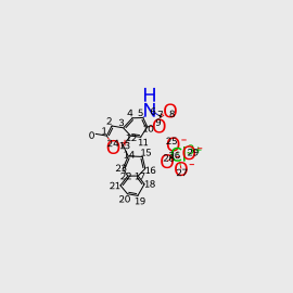 Cc1cc2cc3[nH]c(=O)oc3cc2c(-c2ccc3ccccc3c2)[o+]1.[O-][Cl+3]([O-])([O-])[O-]